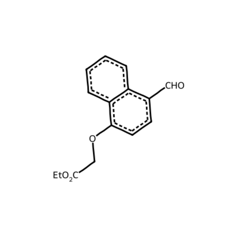 CCOC(=O)COc1ccc(C=O)c2ccccc12